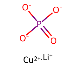 O=P([O-])([O-])[O-].[Cu+2].[Li+]